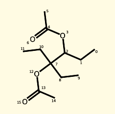 CCC(OC(C)=O)C(CC)(CC)OC(C)=O